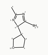 Bc1nc(C)nn1C1CCOC1